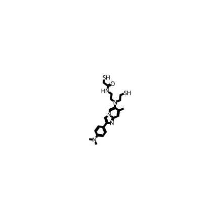 Cc1cc2nc(-c3ccc(N(C)C)cc3)cn2cc1N(CCS)CCNC(=O)CS